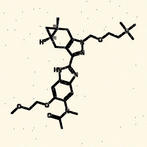 COCCOc1cc2[nH]c(-c3nn(COCC[Si](C)(C)C)c4c3C[C@@H]3C[C@]3(C)C4)nc2cc1N(C)C(C)=O